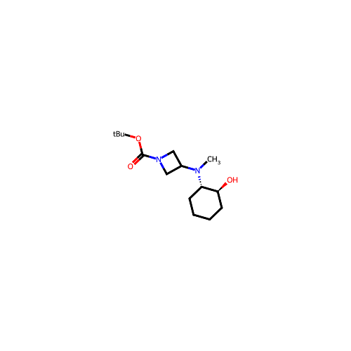 CN(C1CN(C(=O)OC(C)(C)C)C1)[C@H]1CCCC[C@@H]1O